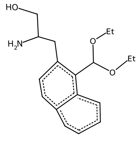 CCOC(OCC)c1c(CC(N)CO)ccc2ccccc12